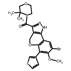 COc1c(Br)cc2c(c1-c1ccsc1)OCc1c(C(=O)N3CCOCC3(C)C)n[nH]c1-2